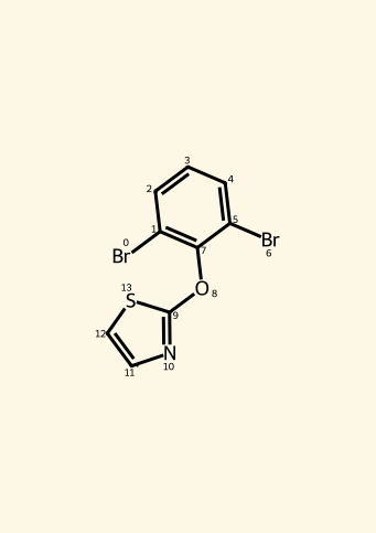 Brc1cccc(Br)c1Oc1n[c]cs1